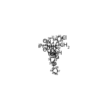 C=C[C@@H]1C[C@]1(NC(=O)[C@@H]1CN(C(=O)[C@@H](NC(=O)OC(C)(C)C)C(C)C)CC[C@H]1c1ccc(Cl)cc1)C(=O)NS(=O)(=O)c1cccc(OCc2ccccc2)c1